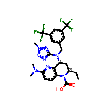 CC[C@@H]1C[C@H](N(Cc2cc(C(F)(F)F)cc(C(F)(F)F)c2)c2nnn(C)n2)c2nc(N(C)C)ccc2N1C(=O)O